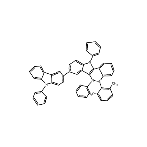 Cc1cccc(C)c1B1c2ccccc2-c2c(c3cc(-c4ccc5c(c4)c4ccccc4n5-c4ccccc4)ccc3n2-c2ccccc2)N1c1ccccc1